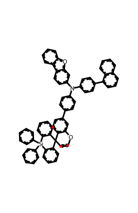 c1ccc([Si]2(c3ccccc3)c3ccccc3C3(c4ccccc4Oc4cc(-c5ccc(N(c6ccc(-c7cccc8ccccc78)cc6)c6ccc7c(c6)oc6ccccc67)cc5)ccc43)c3ccccc32)cc1